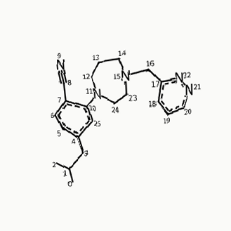 CC(C)Cc1ccc(C#N)c(N2CCCN(Cc3cccnn3)CC2)c1